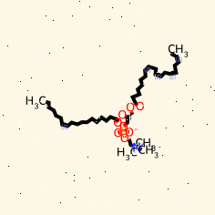 CC/C=C\C/C=C\C/C=C\C/C=C\CCCCCCC(=O)OC[C@H](COP(=O)([O-])OCC[N+](C)(C)C)OC(=O)CCCCCCCCC/C=C\CCCCCC